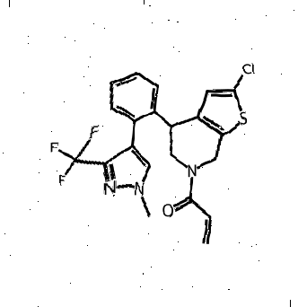 C=CC(=O)N1Cc2sc(Cl)cc2C(c2ccccc2-c2cn(C)nc2C(F)(F)F)C1